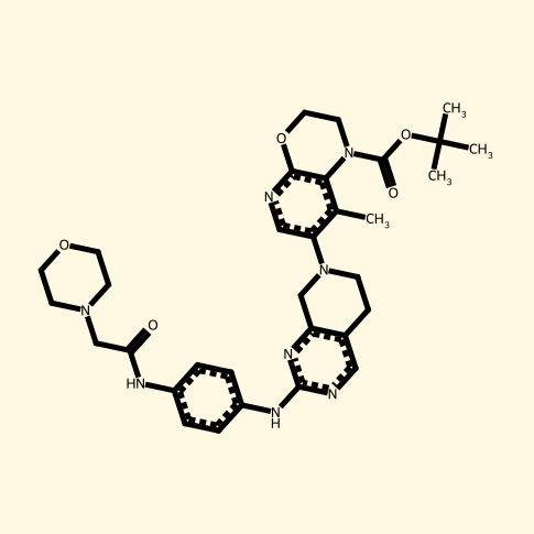 Cc1c(N2CCc3cnc(Nc4ccc(NC(=O)CN5CCOCC5)cc4)nc3C2)cnc2c1N(C(=O)OC(C)(C)C)CCO2